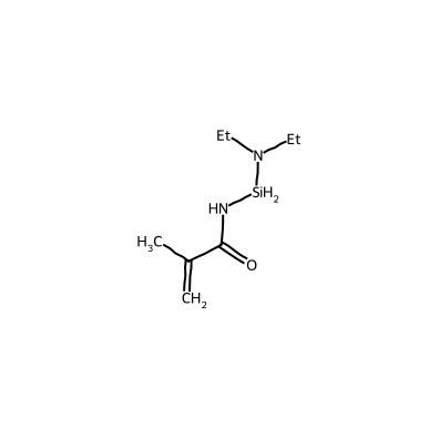 C=C(C)C(=O)N[SiH2]N(CC)CC